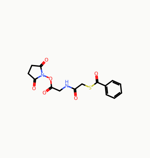 O=C(CSC(=O)c1ccccc1)NCC(=O)ON1C(=O)CCC1=O